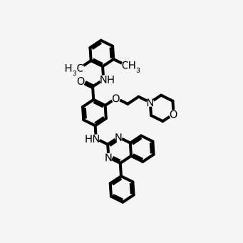 Cc1cccc(C)c1NC(=O)c1ccc(Nc2nc(-c3ccccc3)c3ccccc3n2)cc1OCCN1CCOCC1